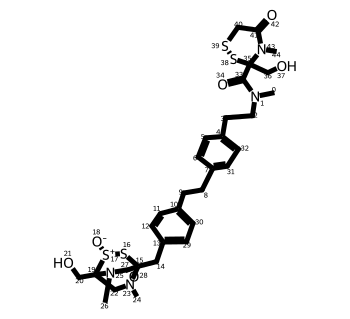 CN(CCc1ccc(CCc2ccc(CC34S[S+]([O-])C(CO)(CN3C)N(C)C4=O)cc2)cc1)C(=O)C1(CO)SSCC(=O)N1C